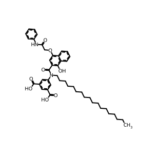 CCCCCCCCCCCCCCCCCCN(C(=O)c1cc(OCC(=O)Nc2ccccc2)c2ccccc2c1O)c1cc(C(=O)O)cc(C(=O)O)c1